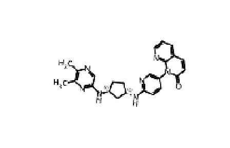 Cc1ncc(N[C@H]2CC[C@H](Nc3ccc(-n4c(=O)ccc5cccnc54)cn3)C2)nc1C